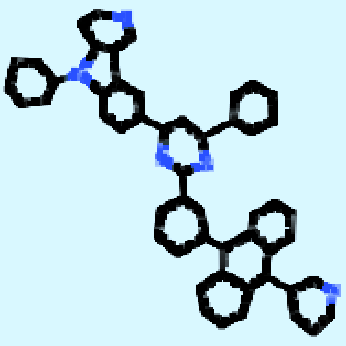 c1ccc(-c2cc(-c3ccc4c(c3)c3cnccc3n4-c3ccccc3)nc(-c3cccc(-c4c5ccccc5c(-c5cccnc5)c5ccccc45)c3)n2)cc1